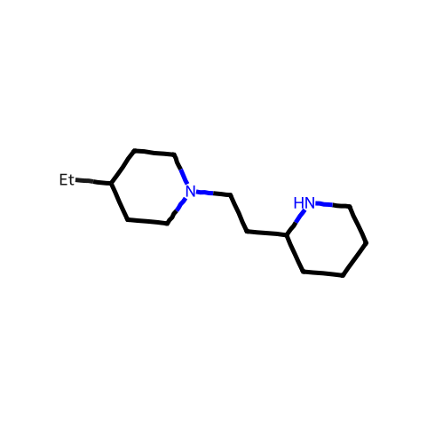 [CH2]CC1CCN(CCC2CCCCN2)CC1